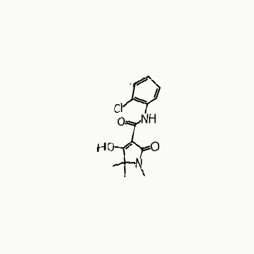 CN1C(=O)C(C(=O)Nc2ccc[c]c2Cl)=C(O)C1(C)C